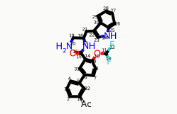 CC(=O)c1cccc(-c2ccc(OC(F)F)c(C(=O)NC(CN)Cc3c[nH]c4ccccc34)c2)c1